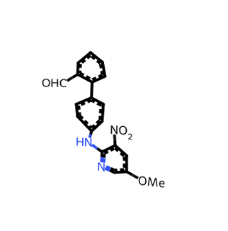 COc1cnc(Nc2ccc(-c3ccccc3C=O)cc2)c([N+](=O)[O-])c1